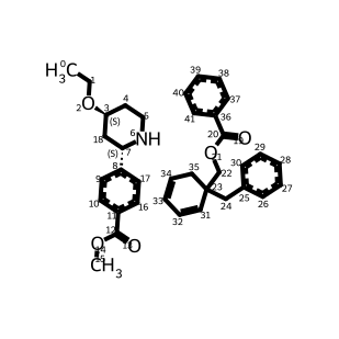 CCO[C@H]1CCN[C@H](c2ccc(C(=O)OC)cc2)C1.O=C(OCC1(Cc2ccccc2)C=CC=CC1)c1ccccc1